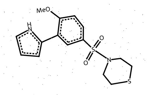 COc1ccc(S(=O)(=O)N2CCSCC2)cc1-c1ccc[nH]1